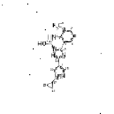 OC1Nc2c(cccc2C(F)(F)F)-c2nc(-c3cnn(C4CC4)c3)nn21